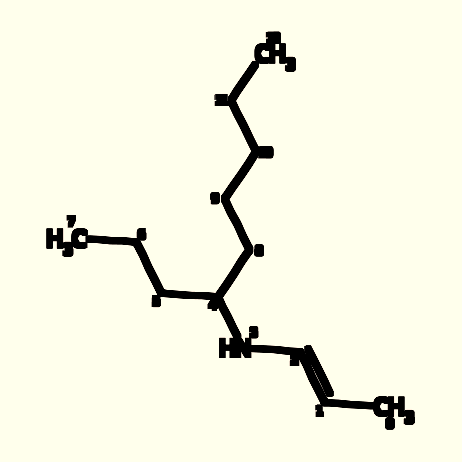 CC=CNC(CCC)CCCCC